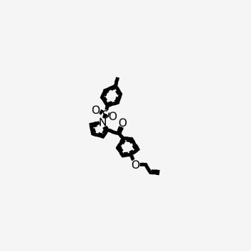 C=CCOc1ccc(C(=O)c2cccn2S(=O)(=O)c2ccc(C)cc2)cc1